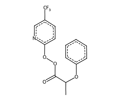 CC(Oc1ccccc1)C(=O)OOc1ccc(C(F)(F)F)cn1